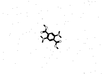 COC(=O)c1cc(N(C)C)c(C(=O)OC)cc1N(C)C